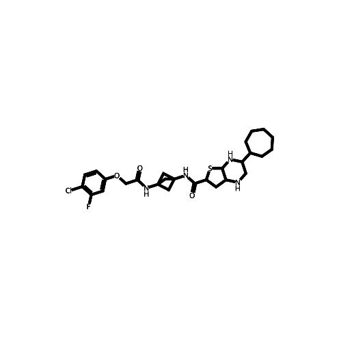 O=C(COc1ccc(Cl)c(F)c1)NC12CC(NC(=O)C3CC4NCC(C5CCCCCC5)NC4S3)(C1)C2